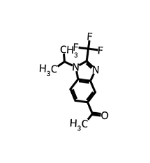 CC(=O)c1ccc2c(c1)nc(C(F)(F)F)n2C(C)C